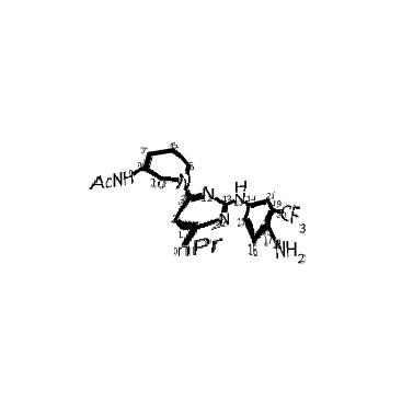 CCCc1cc(N2CCCC(NC(C)=O)C2)nc(Nc2ccc(N)c(C(F)(F)F)c2)n1